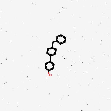 Oc1ccc(-c2ccc(Cc3ccccc3)cc2)cc1